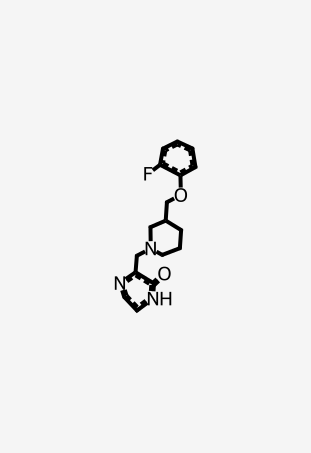 O=c1[nH]ccnc1CN1CCCC(COc2ccccc2F)C1